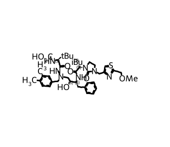 CC[C@H](C)[C@@H](C(=O)N[C@@H](Cc1ccccc1)[C@@H](O)CN(Cc1ccc(C)c(C)c1)NC(=O)[C@@H](NC(=O)O)C(C)(C)C)N1CCN(Cc2csc(COC)n2)C1=O